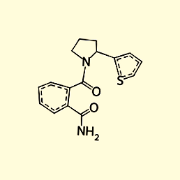 NC(=O)c1ccccc1C(=O)N1CCCC1c1cccs1